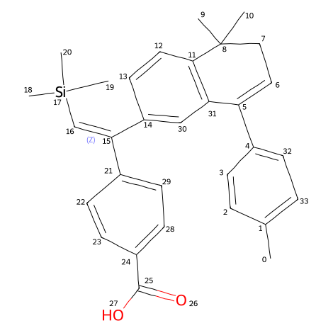 Cc1ccc(C2=CCC(C)(C)c3ccc(/C(=C\[Si](C)(C)C)c4ccc(C(=O)O)cc4)cc32)cc1